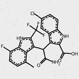 Cc1ccc(F)c2[nH]c(C(F)(F)F)c(C(C(N)=O)c3c(C(=O)O)[nH]c4ccc(Cl)cc34)c12